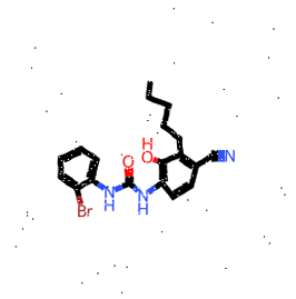 CCCCCc1c(C#N)ccc(NC(=O)Nc2ccccc2Br)c1O